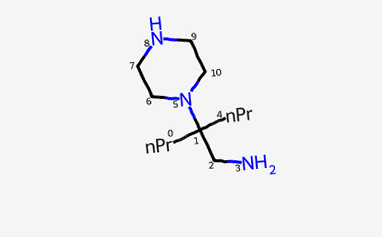 CCCC(CN)(CCC)N1CCNCC1